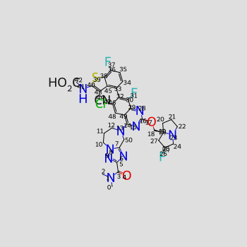 CN(C)C(=O)c1nc2n(n1)CCCN(c1nc(OC[C@@]34CCCN3C[C@H](F)C4)nc3c(F)c(-c4ccc(F)c5sc(NC(=O)O)c(C#N)c45)c(Cl)cc13)C2